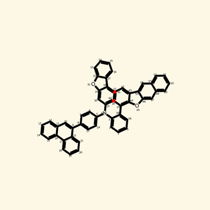 c1ccc(N(c2ccc(-c3cc4ccccc4c4ccccc34)cc2)c2ccc3c(c2)oc2ccccc23)c(-c2cccc3c2oc2cc4ccccc4cc23)c1